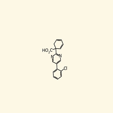 O=C(O)C1(c2ncc(-c3ccccc3Cl)cn2)C=CC=CC1